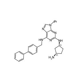 CC(C)n1cnc2c(NCc3ccc(-c4ccccc4)cc3)nc(N[C@H]3CC[C@@H](N)C3)nc21